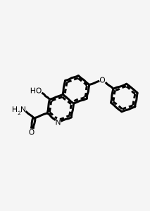 NC(=O)c1ncc2cc(Oc3ccccc3)ccc2c1O